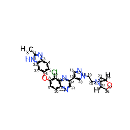 Cc1nc2ccc(Oc3ccc4ncc(-c5cnn(CCN6C[C@H]7C[C@@H]6CO7)c5)nc4c3Cl)cc2[nH]1